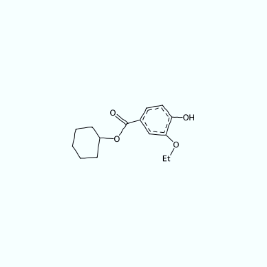 CCOc1cc(C(=O)OC2CCCCC2)ccc1O